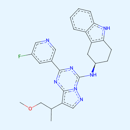 COCC(C)c1cnn2c(N[C@@H]3CCc4[nH]c5ccccc5c4C3)nc(-c3cncc(F)c3)nc12